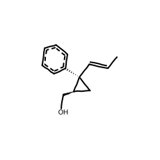 CC=C[C@@]1(c2ccccc2)C[C@H]1CO